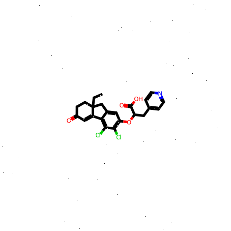 CCC12CCC(=O)C=C1c1c(cc(OC(Cc3ccncc3)C(=O)O)c(Cl)c1Cl)C2